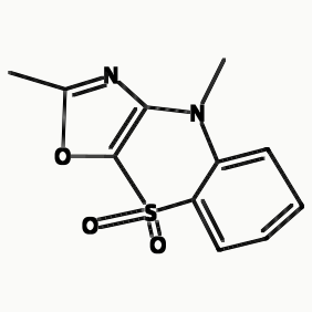 Cc1nc2c(o1)S(=O)(=O)c1ccccc1N2C